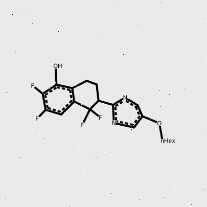 CCCCCCOc1cnc(C2CCc3c(cc(F)c(F)c3O)C2(F)F)nc1